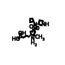 C[C@]1(N)CN(S(=O)(=O)N(C2CCC2)[C@@H]2CCNC2)C[C@@H]1CCCB(O)O